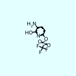 Nc1ccc(OS(=O)(=O)C(F)(F)F)nc1O